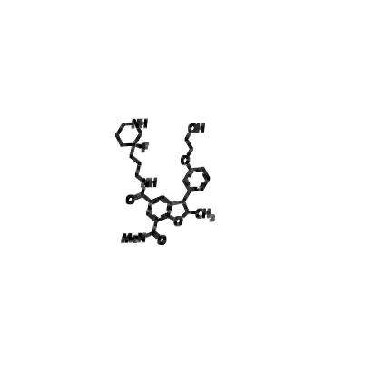 CNC(=O)c1cc(C(=O)NCCC[C@]2(F)CCCNC2)cc2c1OC(C)C2c1cccc(OCCO)c1